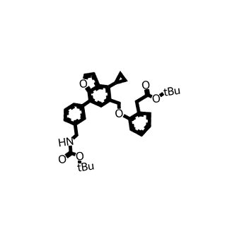 CC(C)(C)OC(=O)Cc1ccccc1OCc1cc(-c2cccc(CNC(=O)OC(C)(C)C)c2)c2occc2c1C1CC1